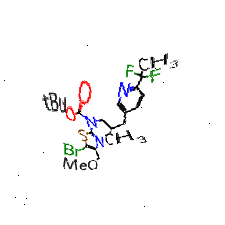 COCc1nc(N(C[C@@H](C)Cc2ccc(C(C)(F)F)nc2)C(=O)OC(C)(C)C)sc1Br